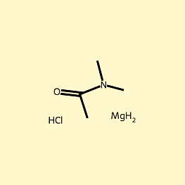 CC(=O)N(C)C.Cl.[MgH2]